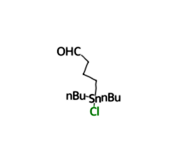 CCC[CH2][Sn]([Cl])([CH2]CCC)[CH2]CCC=O